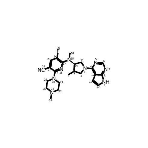 CC1CN(c2ncnc3[nH]ccc23)C[C@@H]1N(C)c1nc(N2CCN(C)CC2)c(C#N)cc1F